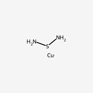 NSN.[Cu]